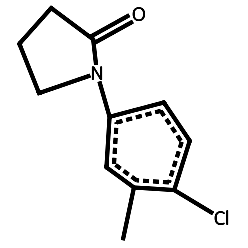 Cc1cc(N2CCCC2=O)ccc1Cl